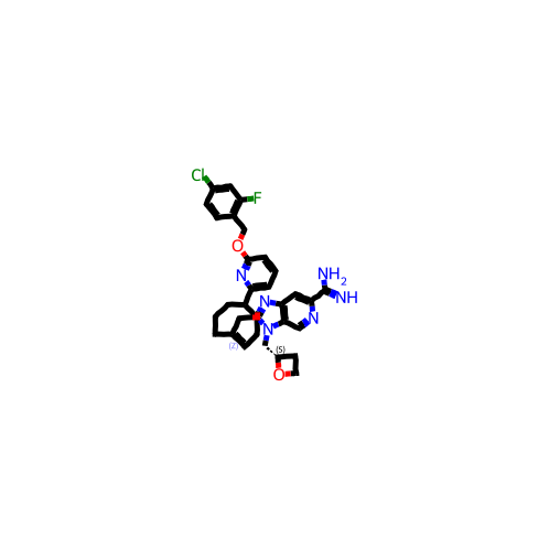 N=C(N)c1cc2nc(C/C3=C\CCC(c4cccc(OCc5ccc(Cl)cc5F)n4)CCC3)n(C[C@@H]3CCO3)c2cn1